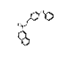 O=C(CCc1ccc(Oc2ccccc2)cc1)c1ccc2ccccc2c1